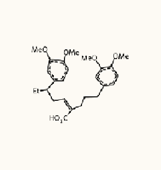 CCC(CC=C(CCCc1ccc(OC)c(OC)c1)C(=O)O)c1ccc(OC)c(OC)c1